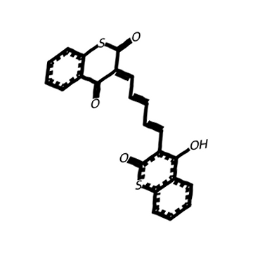 O=C1Sc2ccccc2C(=O)C1=CC=CC=Cc1c(O)c2ccccc2sc1=O